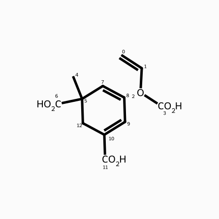 C=COC(=O)O.CC1(C(=O)O)C=CC=C(C(=O)O)C1